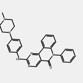 CN1CCN(c2ccc(Nc3ncc4c(=O)n(-c5ccccc5)c5ccccc5c4n3)cc2)CC1